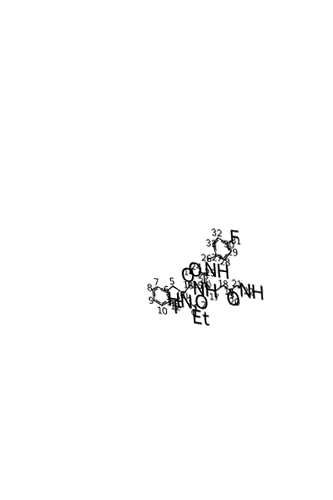 CCC(=O)N[C@@H](Cc1ccccc1F)C(=O)N[C@@H](CCC(=O)C=N)C(=O)NCc1ccc(F)cc1